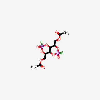 CC(=O)OCC1OP(=O)(F)OC2C(COC(C)=O)OP(=O)(F)OC12